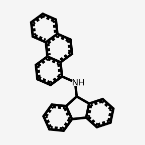 c1ccc2c(c1)-c1ccccc1C2Nc1cccc2c1ccc1ccccc12